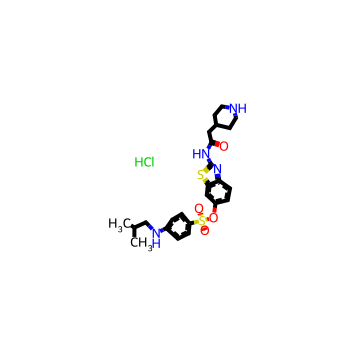 CC(C)CNc1ccc(S(=O)(=O)Oc2ccc3nc(NC(=O)CC4CCNCC4)sc3c2)cc1.Cl